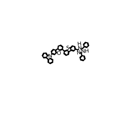 C1=CC(c2cccc3c2sc2ccc(C4N=C(c5ccccc5)NC(c5ccccc5)N4)cc23)=C2Oc3cc(-n4c5ccccc5c5ccccc54)ccc3C2C1